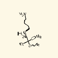 CCC(OC)(OC)[SiH2]CCCN